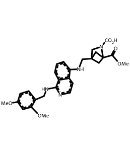 COC(=O)C12CC(CNc3cccc4c(NCc5ccc(OC)cc5OC)nccc34)(CN1C(=O)O)C2